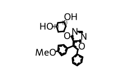 COc1ccc(-c2c(-c3ccccc3)oc3ncnc(OC4C[C@@H](O)C[C@@H](O)C4)c23)cc1